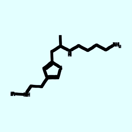 CC(C)NCCc1csc(CC(C)NCCCCN)c1